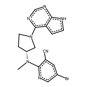 CN(c1ncc(Br)cc1C#N)[C@@H]1CCN(c2ncnc3[nH]ccc23)C1